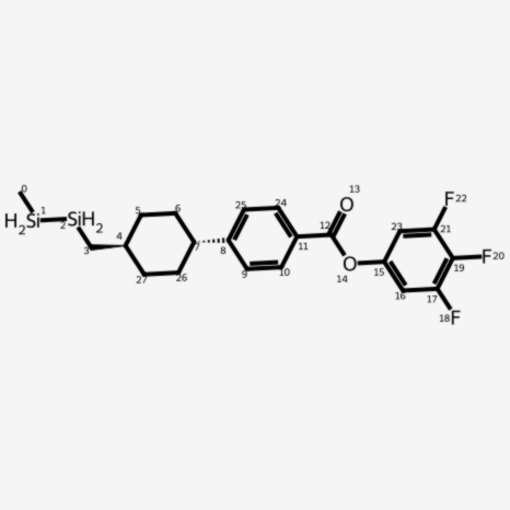 C[SiH2][SiH2]C[C@H]1CC[C@H](c2ccc(C(=O)Oc3cc(F)c(F)c(F)c3)cc2)CC1